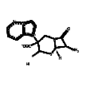 CC1S[C@@H]2C(N)C(=O)N2CC1(C(=O)[O-])[n+]1ccn2ncccc21.I